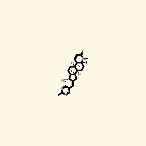 Cc1ncc(C=C2C[C@H]3[C@@H]4CC[C@H]5N(C)C(=O)C=C[C@]5(C)[C@H]4CC[C@]3(C)[C@H]2O)cn1